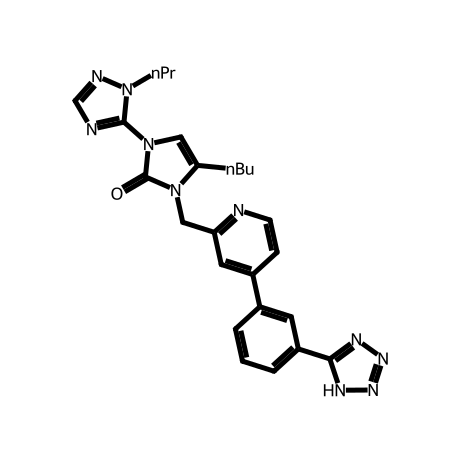 CCCCc1cn(-c2ncnn2CCC)c(=O)n1Cc1cc(-c2cccc(-c3nnn[nH]3)c2)ccn1